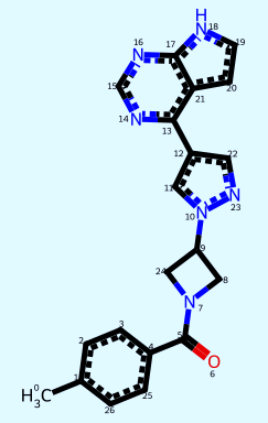 Cc1ccc(C(=O)N2CC(n3cc(-c4ncnc5[nH]ccc45)cn3)C2)cc1